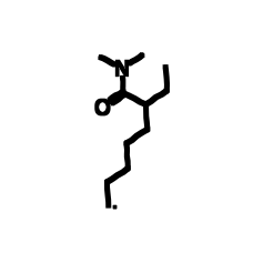 [CH2]CCCCC(CC)C(=O)N(C)C